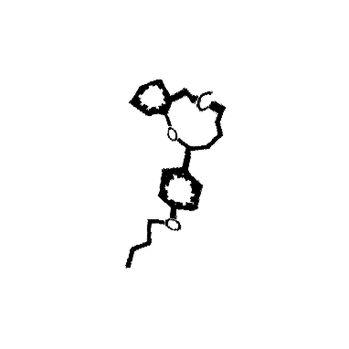 CCCCOc1ccc(C2CCCCCc3ccccc3O2)cc1